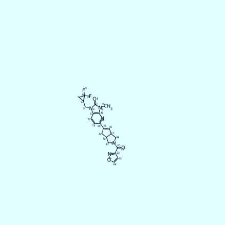 Cn1c(=O)n(CC2CC2(F)F)c2ccc(C3=CC4CN(C(=O)c5ccon5)CC4C3)nc21